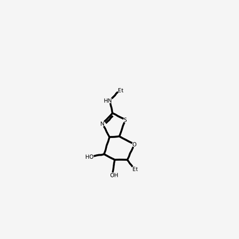 CCNC1=NC2C(OC(CC)C(O)C2O)S1